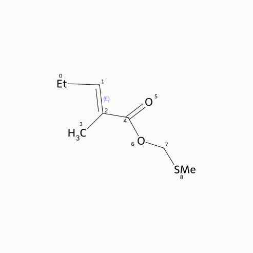 CC/C=C(\C)C(=O)OCSC